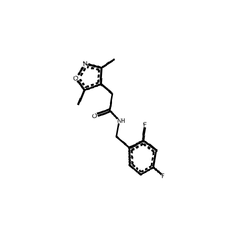 Cc1noc(C)c1CC(=O)NCc1ccc(F)cc1F